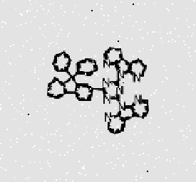 c1ccc(C2(c3ccccc3)c3ccccc3-c3ccc(-c4nc(-n5c6ncccc6c6cccnc65)nc(-n5c6ncccc6c6cccnc65)n4)cc32)cc1